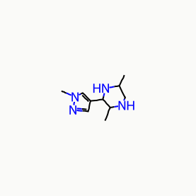 CC1CNC(C)C(c2cnn(C)c2)N1